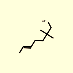 CC=CCCC(C)(C)CC=O